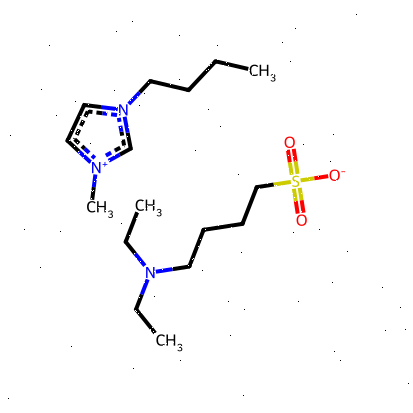 CCCCn1cc[n+](C)c1.CCN(CC)CCCCS(=O)(=O)[O-]